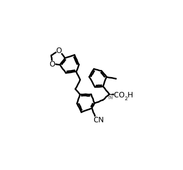 Cc1ccccc1[C@H](Cc1cc(CCc2ccc3c(c2)OCO3)ccc1C#N)C(=O)O